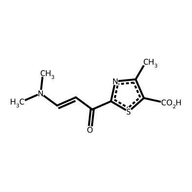 Cc1nc(C(=O)C=CN(C)C)sc1C(=O)O